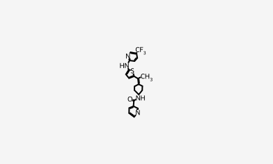 CC(=C1CCC(NC(=O)c2cccnc2)CC1)c1ccc(Nc2ccc(C(F)(F)F)cn2)s1